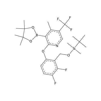 Cc1c(C(F)(F)F)cnc(Oc2ccc(F)c(F)c2CO[Si](C)(C)C(C)(C)C)c1B1OC(C)(C)C(C)(C)O1